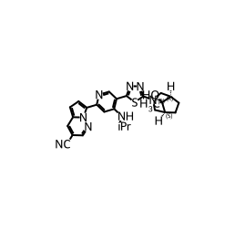 CC(C)Nc1cc(-c2ccc3cc(C#N)cnn23)ncc1-c1nnc(N2C[C@H]3CC[C@@H](C2)[C@@]3(C)O)s1